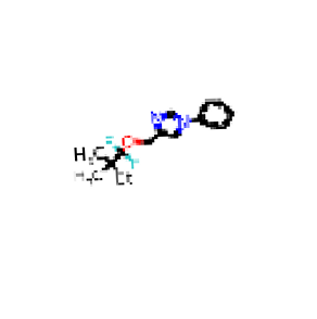 CCC(C)(C)C(F)(F)OCc1cn(-c2ccccc2)cn1